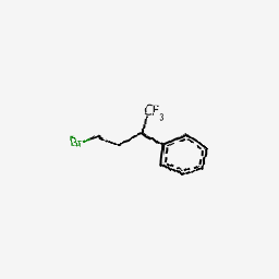 FC(F)(F)C(CCBr)c1ccccc1